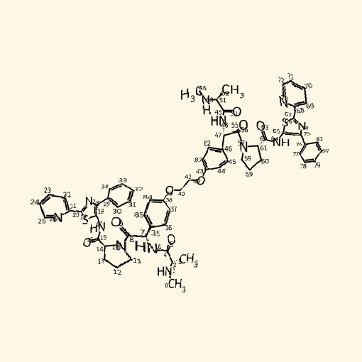 CN[C@@H](C)C(=O)N[C@H](C(=O)N1CCC[C@H]1C(=O)Nc1sc(-c2ccccn2)nc1-c1ccccc1)c1ccc(OCCOc2ccc([C@H](NC(=O)[C@H](C)NC)C(=O)N3CCC[C@H]3C(=O)Nc3sc(-c4ccccn4)nc3-c3ccccc3)cc2)cc1